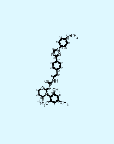 Cc1cc(C)c(N2/C(=N/C(=O)N/C=C/c3ccc(-c4ncn(-c5ccc(OC(F)(F)F)cc5)n4)cc3)SCCC2C)c(C)c1